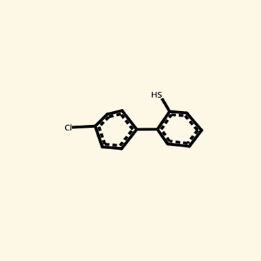 Sc1ccccc1-c1ccc(Cl)cc1